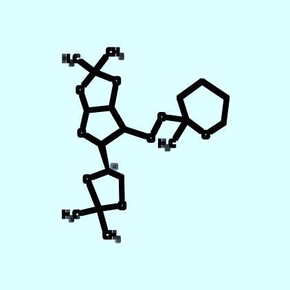 CC1(C)OC2OC([C@H]3COC(C)(C)O3)C(OOC3(C)CCCCO3)C2O1